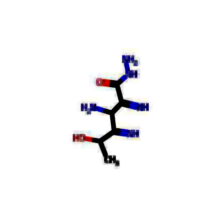 CC(O)C(=N)C(N)C(=N)C(=O)NN